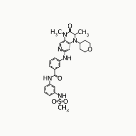 CC1C(=O)N(C)c2cnc(Nc3cccc(C(=O)Nc4cccc(NS(C)(=O)=O)c4)c3)cc2N1C1CCOCC1